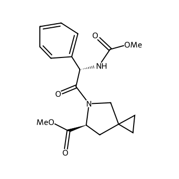 COC(=O)N[C@H](C(=O)N1CC2(CC2)C[C@H]1C(=O)OC)c1ccccc1